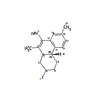 CCCC1=C(C)C2CC(I)CC[C@H]2c2ccc(C)cc21